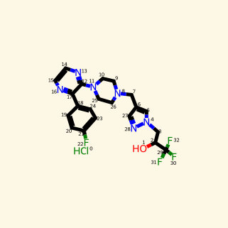 Cl.OC(Cn1cc(CN2CCN(c3nccnc3-c3ccc(F)cc3)CC2)cn1)C(F)(F)F